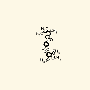 CCCC(C)C(C)CN1CCN(c2ccc(S(=O)(=O)Oc3cc(OC)c(OC)c(OC)c3)cc2)C1=O